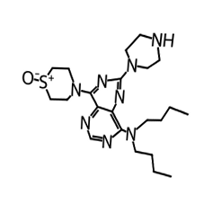 CCCCN(CCCC)c1ncnc2c(N3CC[S+]([O-])CC3)nc(N3CCNCC3)nc12